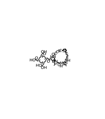 CC[C@H](C)[C@@H]1NC(=O)[C@H](CC(C)C)NC(=O)C2(CCN(C(=O)CN3CCN(CC(=O)O)CCN(CC(=O)O)CCN(CC(O)O)CC3)CC2)NC(=O)CCSCc2cccc(n2)CSCCNC1=O